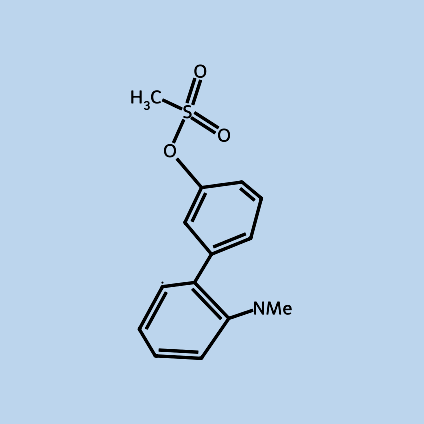 CNc1ccc[c]c1-c1cccc(OS(C)(=O)=O)c1